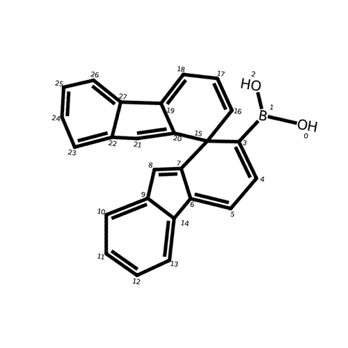 OB(O)C1=CC=C2C(=Cc3ccccc32)C12C=CC=C1C2=Cc2ccccc21